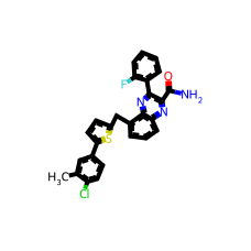 Cc1cc(-c2ccc(Cc3cccc4nc(C(N)=O)c(-c5ccccc5F)nc34)s2)ccc1Cl